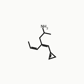 C/C=C\C(=C/C1=CC1)CC(C)N